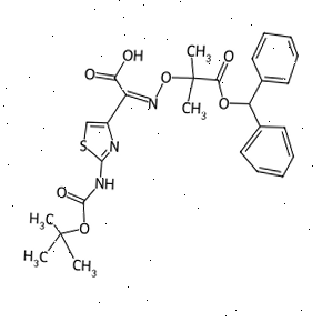 CC(C)(C)OC(=O)Nc1nc(C(=NOC(C)(C)C(=O)OC(c2ccccc2)c2ccccc2)C(=O)O)cs1